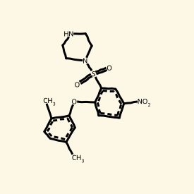 Cc1ccc(C)c(Oc2ccc([N+](=O)[O-])cc2S(=O)(=O)N2CCNCC2)c1